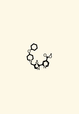 COC(=O)c1ccnc(-c2ncc(CN3CCC(OC4CCCCC4)CC3)n2C)c1